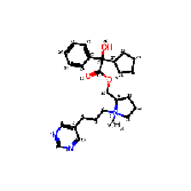 C[N+]1(CCCc2cncnc2)CCCC1COC(=O)C(O)(c1ccccc1)C1CCCC1